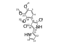 COc1ccc(-c2c(Cl)[nH]c(-c3ccc[nH]3)c2Cl)c(OC)c1OC